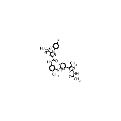 CC(=O)Nc1nc(C)c(-c2ccnc(Nc3cc(NC(=O)c4cc(S(C)(=O)=O)n(-c5ccc(F)cc5)n4)ccc3C)n2)s1